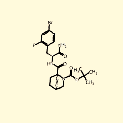 CC(C)(C)OC(=O)N1CC2CCC1(C(=O)N[C@@H](Cc1ccc(Br)cc1F)C(N)=O)CC2